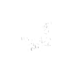 C=CC(=O)Nc1cc(Nc2c(C(=O)OCC)cnc3ccc(-c4ccc(NS(C)(=O)=O)cc4)cc23)ccc1C